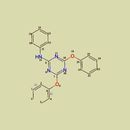 C/C=C\C(=C/C)Oc1nc(Nc2ccccc2)nc(Oc2ccccc2)n1